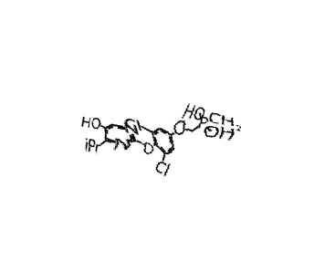 C=P(O)(O)COc1cc(Cl)c(Oc2ncc(O)c(C(C)C)n2)c(Cl)c1